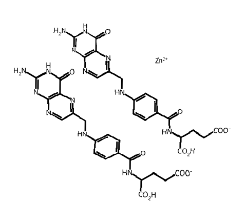 Nc1nc2ncc(CNc3ccc(C(=O)NC(CCC(=O)[O-])C(=O)O)cc3)nc2c(=O)[nH]1.Nc1nc2ncc(CNc3ccc(C(=O)NC(CCC(=O)[O-])C(=O)O)cc3)nc2c(=O)[nH]1.[Zn+2]